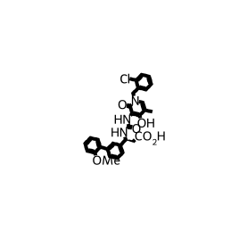 COc1ccccc1-c1cccc([C@H](CC(=O)O)NC(=O)Nc2c(O)c(C)cn(Cc3ccccc3Cl)c2=O)c1